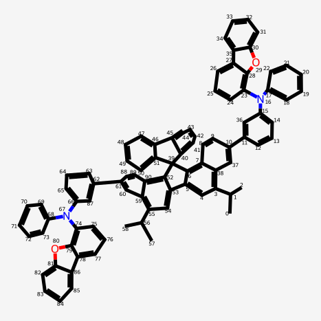 CC(C)c1cc2c(c3ccc(-c4cccc(N(c5ccccc5)c5cccc6c5oc5ccccc56)c4)cc13)C1(c3ccccc3-c3ccccc31)c1c-2cc(C(C)C)c2cc(-c3cccc(N(c4ccccc4)c4cccc5c4oc4ccccc45)c3)ccc12